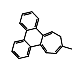 CC1=CC=c2c(c3ccccc3c3ccccc23)=CC1